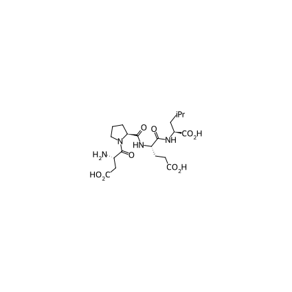 CC(C)C[C@H](NC(=O)[C@H](CCC(=O)O)NC(=O)[C@@H]1CCCN1C(=O)[C@@H](N)CC(=O)O)C(=O)O